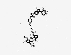 CCOc1cc([C@@H](CS(C)(=O)=O)N2C(=O)c3cccc(NC(=O)CCCCCN4CCN(CC(=O)Nc5ccc6c(C7CCC(=O)NC7=O)nn(C)c6c5)CC4)c3C2=O)ccc1OC